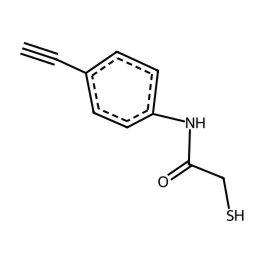 C#Cc1ccc(NC(=O)CS)cc1